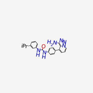 CC(C)c1cccc(NC(=O)Nc2ccc(-c3cccn4nnc(N)c34)cc2)c1